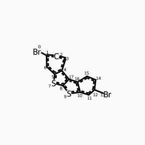 Brc1ccc2c(c1)sc1sc3cc(Br)ccc3c12